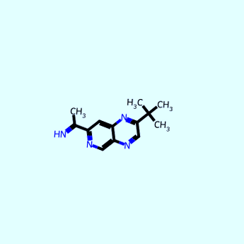 CC(=N)c1cc2nc(C(C)(C)C)cnc2cn1